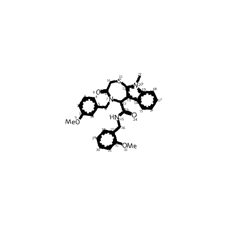 COc1cccc(CN2C(=O)CSc3c(c4ccccc4n3C)C2C(=O)NCc2ccccc2OC)c1